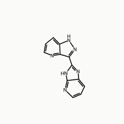 c1cnc2[nH]c(-c3n[nH]c4cccnc34)nc2c1